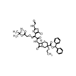 CCSC1(C(=O)OC(c2ccccc2)c2ccccc2)CS[C@@H]2C(NC(=O)C(=NOCC(=O)OC(C)(C)C)c3nc(NC=O)sc3Cl)C(=O)N2C1